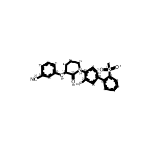 CS(=O)(=O)c1ccccc1-c1ccc(N2CCCC(Oc3cccc(C#N)c3)C2=O)c(F)c1